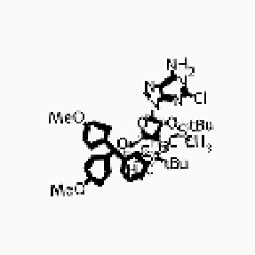 COc1ccc(C(OC[C@H]2O[C@@H](n3cnc4c(N)nc(Cl)nc43)[C@H](O[Si](C)(C)C(C)(C)C)[C@@H]2O[Si](C)(C)C(C)(C)C)(c2ccccc2)c2ccc(OC)cc2)cc1